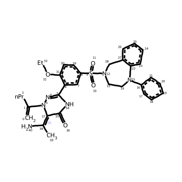 C=C(CCC)N1N=C(c2cc(S(=O)(=O)N3CCN(c4ccccc4)c4ccccc4C3)ccc2OCC)NC(=O)/C1=C(\C)N